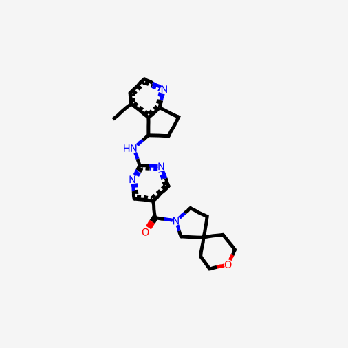 Cc1ccnc2c1C(Nc1ncc(C(=O)N3CCC4(CCOCC4)C3)cn1)CC2